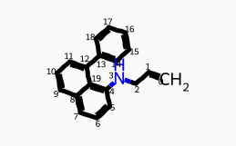 C=CCNc1cccc2cccc(-c3ccccc3)c12